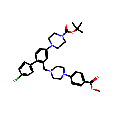 COC(=O)c1ccc(N2CCN(Cc3cc(N4CCN(C(=O)OC(C)(C)C)CC4)ccc3-c3ccc(Cl)cc3)CC2)cc1